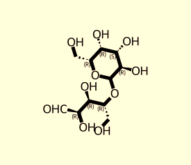 O=C[C@H](O)[C@@H](O)[C@@H](CO)OC1O[C@H](CO)[C@H](O)[C@H](O)[C@H]1O